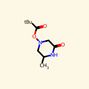 CC1CN(OC(=O)C(C)(C)C)CC(=O)N1